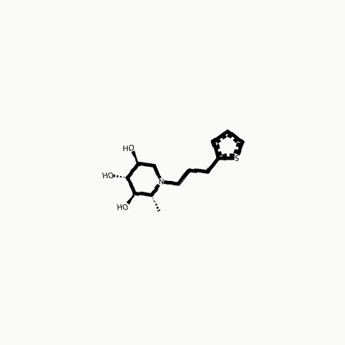 C[C@@H]1[C@@H](O)[C@H](O)[C@@H](O)CN1CCCc1cccs1